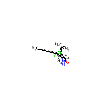 CCCCCCCCCCCC(Cl)(Cl)C(C)(c1ccc(=O)[nH]n1)C(C)CCCC(C)C